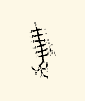 CO[Si](CCC(F)(F)C(F)(F)C(F)(F)C(F)(F)C(F)(F)C(F)(F)F)(OC)OC.F[SiH3]